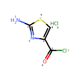 Cl.Nc1nc(C(=O)Cl)cs1